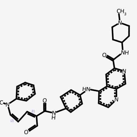 CN1CCC(NC(=O)c2cc3c(Nc4ccc(NC(=O)/C(C=O)=C/C=C\N(C)c5ccccc5)cc4)ccnc3cn2)CC1